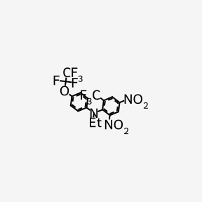 CCN(c1ccc(OC(F)(F)C(F)(F)F)cc1)c1c([N+](=O)[O-])cc([N+](=O)[O-])cc1C(F)(F)F